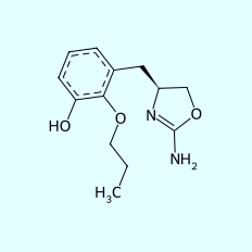 CCCOc1c(O)cccc1C[C@H]1COC(N)=N1